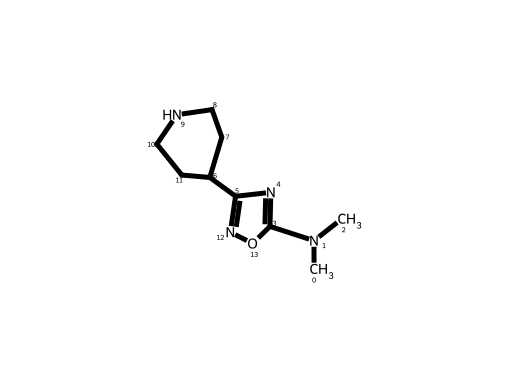 CN(C)c1nc(C2CCNCC2)no1